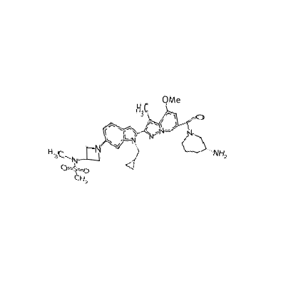 COc1cc(C(=O)N2CCC[C@@H](N)C2)cn2nc(-c3cc4ccc(N5CC(N(C)S(C)(=O)=O)C5)cc4n3CC3CC3)c(C)c12